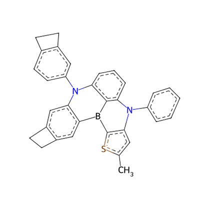 Cc1cc2c(s1)B1c3cc4c(cc3N(c3ccc5c(c3)CC5)c3cccc(c31)N2c1ccccc1)CC4